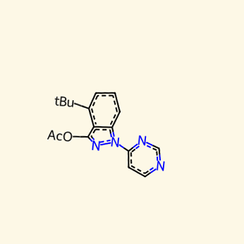 CC(=O)Oc1nn(-c2ccncn2)c2cccc(C(C)(C)C)c12